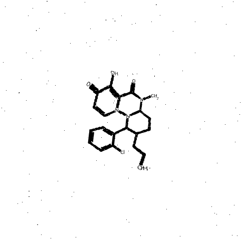 CN1C(=O)c2c(O)c(=O)ccn2N2C(c3ccccc3Cl)C(CCO)CCC12